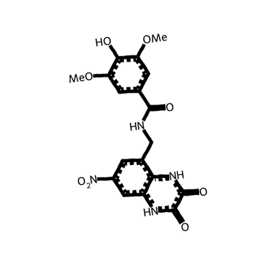 COc1cc(C(=O)NCc2cc([N+](=O)[O-])cc3[nH]c(=O)c(=O)[nH]c23)cc(OC)c1O